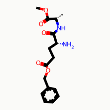 COC(=O)[C@H](C)NC(=O)[C@H](N)CCC(=O)OCc1ccccc1